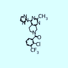 Cc1nc2c(c(-n3nccn3)n1)CCN(C(=O)c1cccc(C(F)(F)F)c1Cl)C2